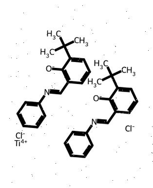 CC(C)(C)c1cccc(C=Nc2ccccc2)c1[O-].CC(C)(C)c1cccc(C=Nc2ccccc2)c1[O-].[Cl-].[Cl-].[Ti+4]